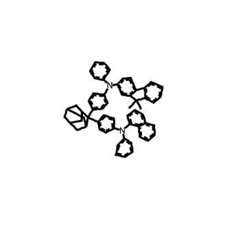 CC1(C)c2ccccc2-c2ccc(N(c3ccccc3)c3ccc(C4(c5ccc(N(c6ccccc6)c6cccc7ccccc67)cc5)C5CC6CC(C5)CC4C6)cc3)cc21